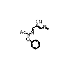 C=NC=C(C#N)C=NN(Oc1ccccc1)C(C)=O